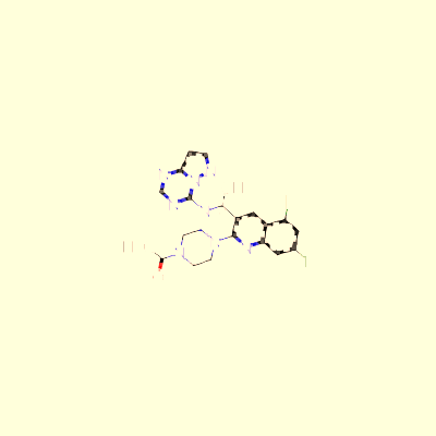 CC(=O)N1CCN(c2nc3cc(F)cc(F)c3cc2[C@H](C)Nc2ncnc3ccnn23)CC1